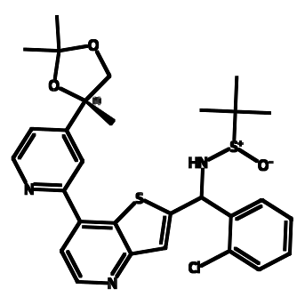 CC1(C)OC[C@](C)(c2ccnc(-c3ccnc4cc(C(N[S+]([O-])C(C)(C)C)c5ccccc5Cl)sc34)c2)O1